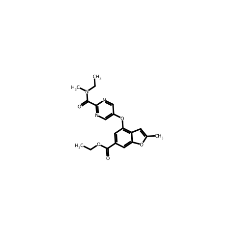 CCOC(=O)c1cc(Oc2cnc(C(=O)N(C)CC)nc2)c2cc(C)oc2c1